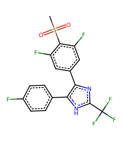 CS(=O)(=O)c1c(F)cc(-c2nc(C(F)(F)F)[nH]c2-c2ccc(F)cc2)cc1F